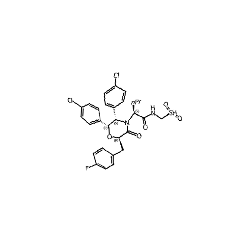 CCC[C@@H](C(=O)NC[SH](=O)=O)N1C(=O)[C@@H](Cc2ccc(F)cc2)O[C@H](c2ccc(Cl)cc2)[C@@H]1c1ccc(Cl)cc1